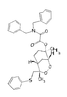 C[C@]1(CSc2ccccc2)OO[C@@H]2C[C@H]1CC[C@@]2(C)OC(=O)C(=O)N(Cc1ccccc1)Cc1ccccc1